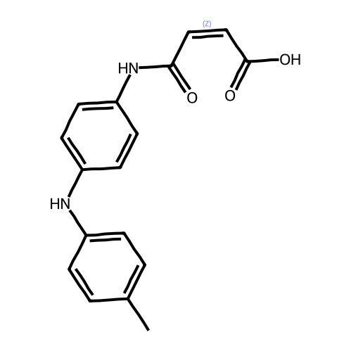 Cc1ccc(Nc2ccc(NC(=O)/C=C\C(=O)O)cc2)cc1